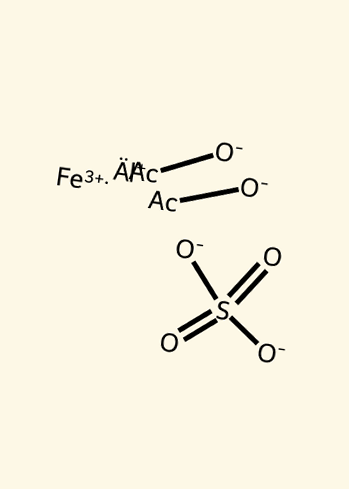 CC(=O)[O-].CC(=O)[O-].O=S(=O)([O-])[O-].[Al+].[Fe+3]